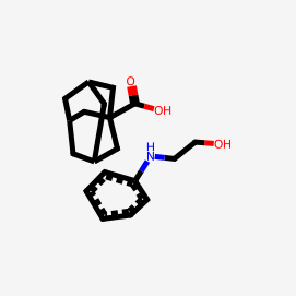 O=C(O)C12CC3CC(CC(C3)C1)C2.OCCNc1ccccc1